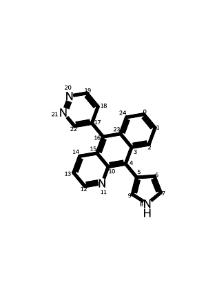 c1ccc2c(-c3cc[nH]c3)c3ncccc3c(-c3ccnnc3)c2c1